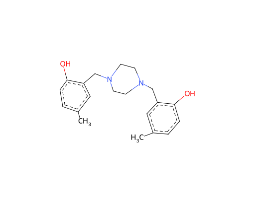 Cc1ccc(O)c(CN2CCN(Cc3cc(C)ccc3O)CC2)c1